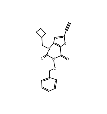 C#Cc1cc2c(s1)c(=O)n(OCc1ccccc1)c(=O)n2CC1CCC1